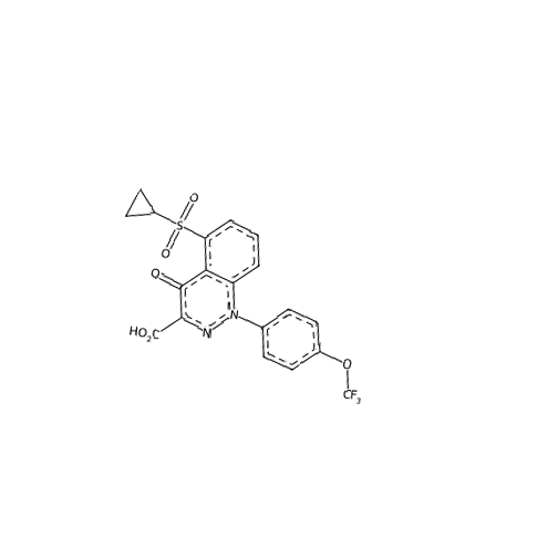 O=C(O)c1nn(-c2ccc(OC(F)(F)F)cc2)c2cccc(S(=O)(=O)C3CC3)c2c1=O